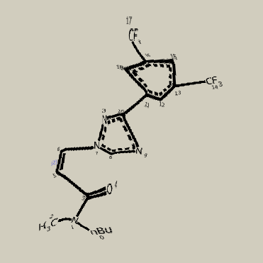 CCCCN(C)C(=O)/C=C\n1cnc(-c2cc(C(F)(F)F)cc(C(F)(F)F)c2)n1